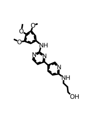 COc1cc(Nc2nccc(-c3ccc(NCCCO)nc3)n2)cc(OC)c1OC